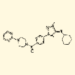 Cn1nc(-c2ccc(C(=O)N3CCN(c4ncccn4)CC3)cc2)sc1=NC1CCCCC1